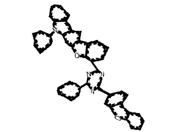 c1ccc(-c2nc(-c3ccc4c(c3)oc3ccccc34)nc(-c3cccc4c3oc3cc5c(cc34)c3ccccc3n5-c3ccccc3)n2)cc1